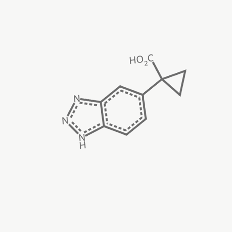 O=C(O)C1(c2ccc3[nH]nnc3c2)CC1